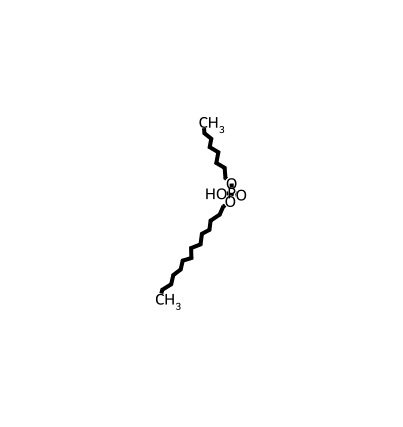 CCCCCCCCCCCCCCOP(=O)(O)OCCCCCCCC